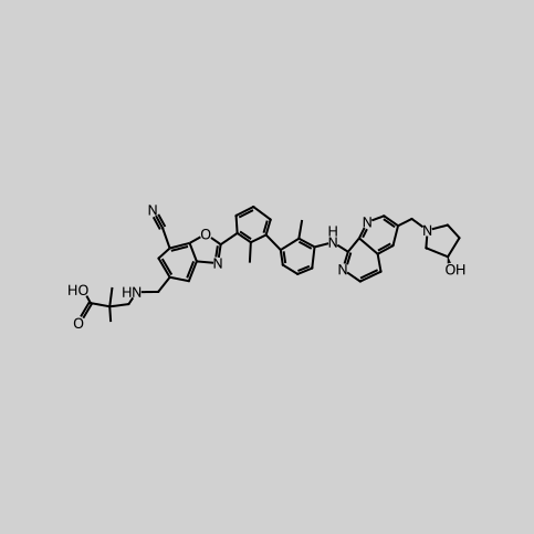 Cc1c(Nc2nccc3cc(CN4CC[C@@H](O)C4)cnc23)cccc1-c1cccc(-c2nc3cc(CNCC(C)(C)C(=O)O)cc(C#N)c3o2)c1C